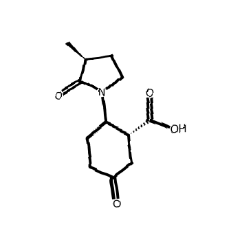 C[C@H]1CCN(C2CCC(=O)C[C@H]2C(=O)O)C1=O